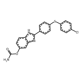 NC(=O)Oc1ccc2[nH]c(-c3ccc(Sc4ccc(Cl)cc4)cc3)nc2c1